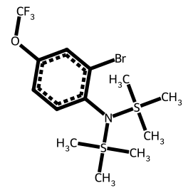 CS(C)(C)N(c1ccc(OC(F)(F)F)cc1Br)S(C)(C)C